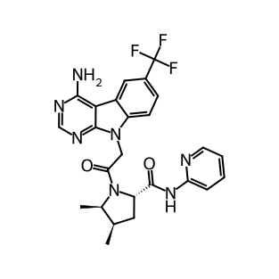 C[C@@H]1C[C@@H](C(=O)Nc2ccccn2)N(C(=O)Cn2c3ccc(C(F)(F)F)cc3c3c(N)ncnc32)[C@@H]1C